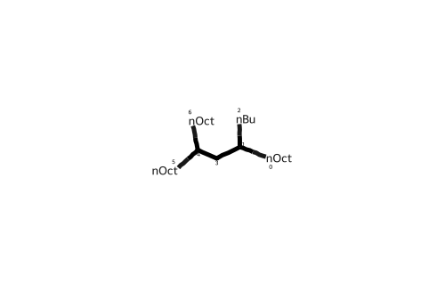 CCCCCCCCC(CCCC)CC(CCCCCCCC)CCCCCCCC